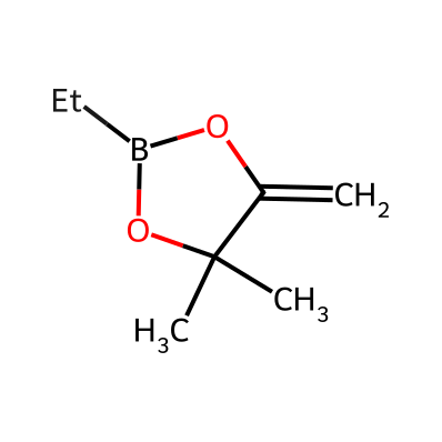 C=C1OB(CC)OC1(C)C